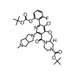 CN1CC2CN(c3nc(-c4c(F)cccc4OC(=O)OC(C)(C)C)c(Cl)c4c3C(=O)N3CCN(C(=O)OC(C)(C)C)C[C@@H]3CO4)CC2C1